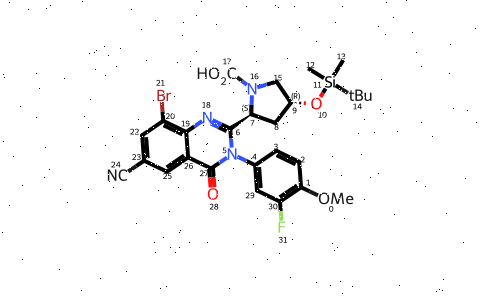 COc1ccc(-n2c([C@@H]3C[C@@H](O[Si](C)(C)C(C)(C)C)CN3C(=O)O)nc3c(Br)cc(C#N)cc3c2=O)cc1F